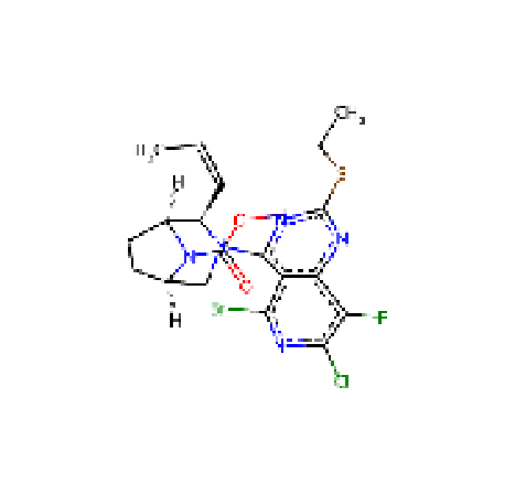 C/C=C\[C@@H]1[C@@H]2CC[C@H](CN1c1nc(SCC)nc3c(F)c(Cl)nc(Br)c13)N2C(=O)OI